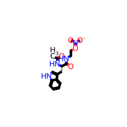 CC(=O)N[C@@H](Cc1c[nH]c2ccccc12)C(=O)NCCO[N+](=O)[O-]